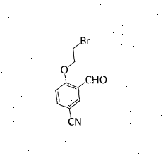 N#Cc1ccc(OCCBr)c(C=O)c1